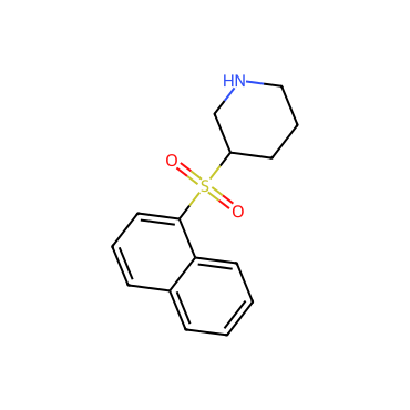 O=S(=O)(c1cccc2ccccc12)C1CCCNC1